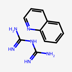 N=C(N)NC(=N)N.c1ccc2ncccc2c1